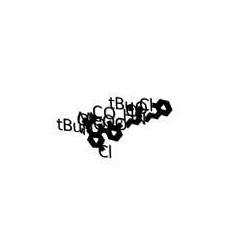 COc1c(OCCCN(CCCc2ccccc2Cl)C(=O)OC(C)(C)C)cccc1C1OC(CC(=O)O)C(=O)N(CC(C)(C)C)c2ccc(Cl)cc21